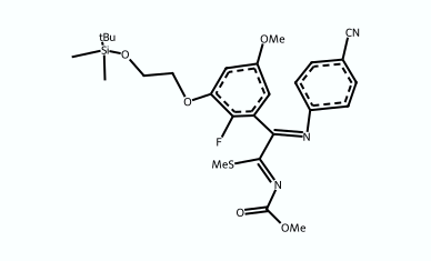 COC(=O)N=C(SC)C(=Nc1ccc(C#N)cc1)c1cc(OC)cc(OCCO[Si](C)(C)C(C)(C)C)c1F